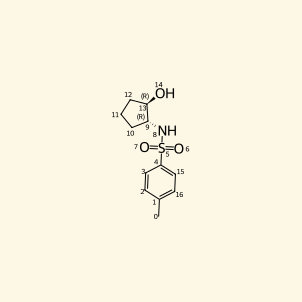 Cc1ccc(S(=O)(=O)N[C@@H]2CCC[C@H]2O)cc1